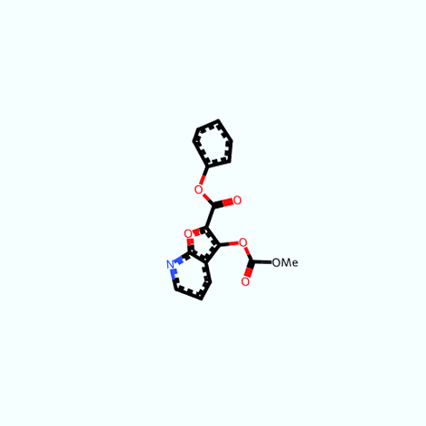 COC(=O)Oc1c(C(=O)Oc2ccccc2)oc2ncccc12